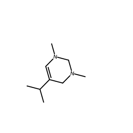 CC(C)C1=CN(C)CN(C)C1